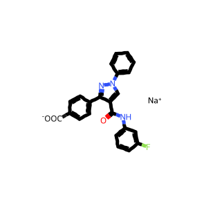 O=C([O-])c1ccc(-c2nn(-c3ccccc3)cc2C(=O)Nc2cccc(F)c2)cc1.[Na+]